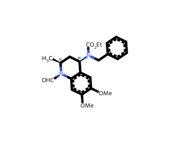 CCOC(=O)N(Cc1ccccc1)[C@@H]1C[C@H](C)N(C=O)c2cc(OC)c(OC)cc21